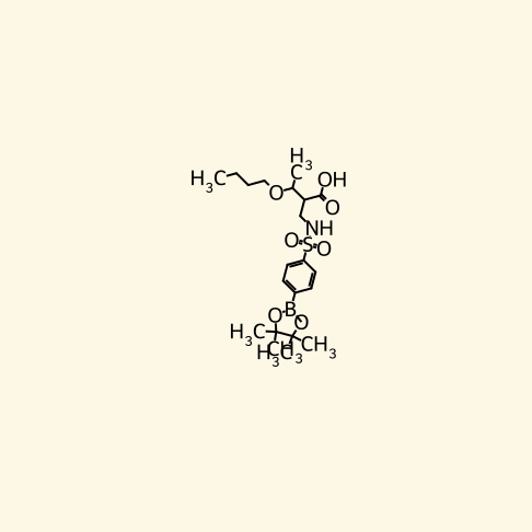 CCCCOC(C)C(CNS(=O)(=O)c1ccc(B2OC(C)(C)C(C)(C)O2)cc1)C(=O)O